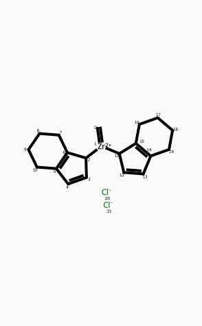 [CH2]=[Zr+2]([CH]1C=CC2=C1CCCC2)[CH]1C=CC2=C1CCCC2.[Cl-].[Cl-]